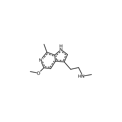 CNCCc1c[nH]c2c(C)nc(OC)cc12